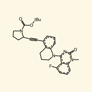 Cn1c(=O)nc(N2CCCc3c(C#CC4CCCN4C(=O)OC(C)(C)C)cccc32)c2c(F)cccc21